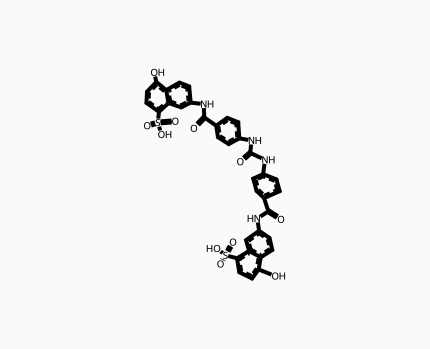 O=C(Nc1ccc(C(=O)Nc2ccc3c(O)ccc(S(=O)(=O)O)c3c2)cc1)Nc1ccc(C(=O)Nc2ccc3c(O)ccc(S(=O)(=O)O)c3c2)cc1